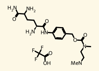 CNCCN(C)C(=O)OCc1ccc(NC(=O)[C@@H](N)CCC(N)C(N)=O)cc1.O=C(O)C(F)(F)F